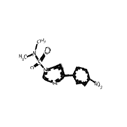 CN(C)S(=O)(=O)n1cnc(-c2ccc([N+](=O)[O-])cc2)c1